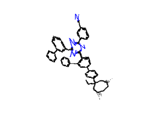 CCC1(c2ccc(-c3ccc(-c4nc(-c5cccc(C#N)c5)nc(-c5cccc(-c6ccccc6)c5)n4)c(-c4ccccc4)c3)cc2)C[C@H](C)CC[C@H](C)C1